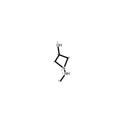 CNN1CC(O)C1